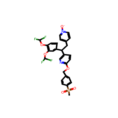 CS(=O)(=O)c1ccc(COc2ccc(C(Cc3cc[n+]([O-])cc3)c3ccc(OC(F)F)c(OC(F)F)c3)cn2)cc1